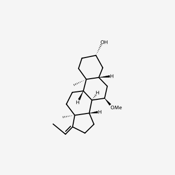 C/C=C1/CC[C@H]2[C@@H]3[C@H](OC)C[C@H]4C[C@@H](O)CC[C@]4(C)[C@H]3CC[C@]12C